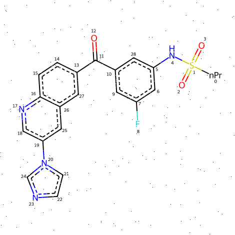 CCCS(=O)(=O)Nc1cc(F)cc(C(=O)c2ccc3ncc(-n4ccnc4)cc3c2)c1